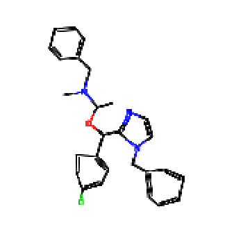 CC(OC(c1ccc(Cl)cc1)c1nccn1Cc1ccccc1)N(C)Cc1ccccc1